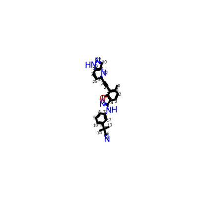 Cc1ccc2c(Nc3cccc(C(C)(C)C#N)c3)noc2c1C#Cc1ccc2[nH]ncc2n1